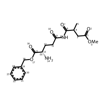 COC(=O)CC(C)C(=O)NC(=O)CC[C@H](N)C(=O)OCc1ccccc1